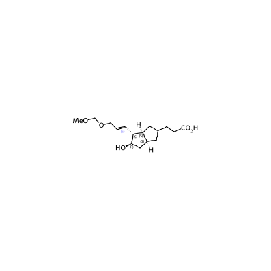 COCOC/C=C/[C@@H]1[C@H]2CC(CCC(=O)O)C[C@H]2C[C@H]1O